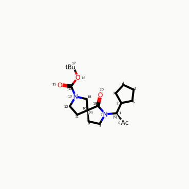 CC(=O)[C@H](C1CCCC1)N1CC[C@]2(CCN(C(=O)OC(C)(C)C)C2)C1=O